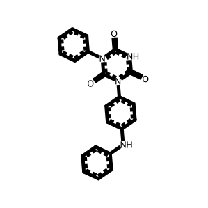 O=c1[nH]c(=O)n(-c2ccc(Nc3ccccc3)cc2)c(=O)n1-c1ccccc1